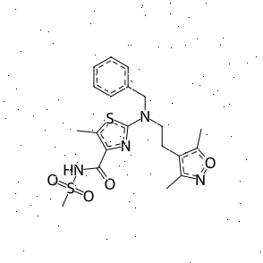 Cc1noc(C)c1CCN(Cc1ccccc1)c1nc(C(=O)NS(C)(=O)=O)c(C)s1